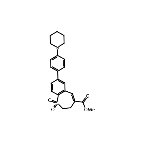 COC(=O)C1=Cc2cc(-c3ccc(N4CCCCC4)cc3)ccc2S(=O)(=O)CC1